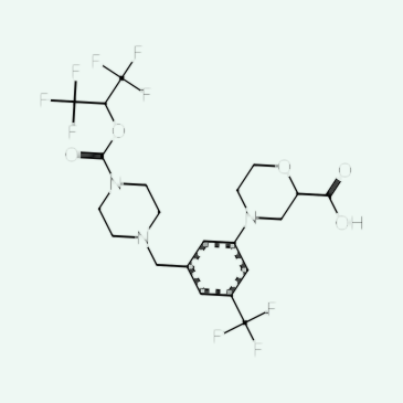 O=C(O)C1CN(c2cc(CN3CCN(C(=O)OC(C(F)(F)F)C(F)(F)F)CC3)cc(C(F)(F)F)c2)CCO1